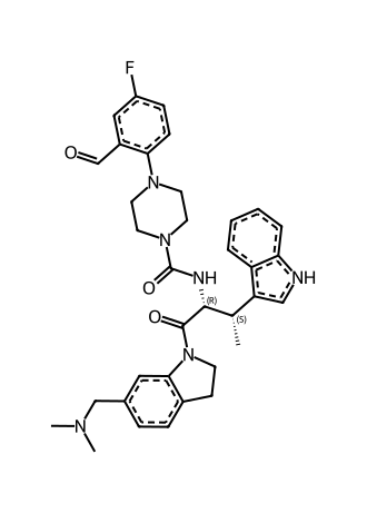 C[C@@H](c1c[nH]c2ccccc12)[C@@H](NC(=O)N1CCN(c2ccc(F)cc2C=O)CC1)C(=O)N1CCc2ccc(CN(C)C)cc21